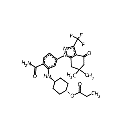 CCC(=O)O[C@H]1CC[C@H](Nc2cc(-n3nc(C(F)(F)F)c4c3CC(C)(C)CC4=O)ccc2C(N)=O)CC1